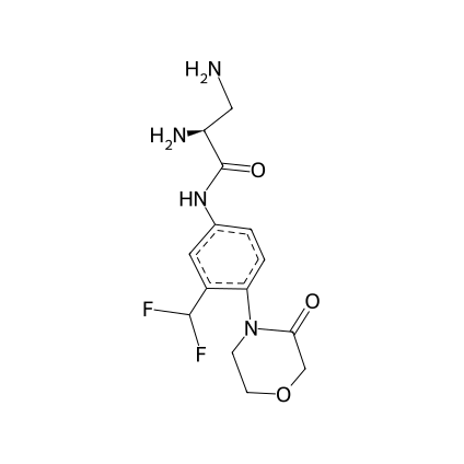 NC[C@H](N)C(=O)Nc1ccc(N2CCOCC2=O)c(C(F)F)c1